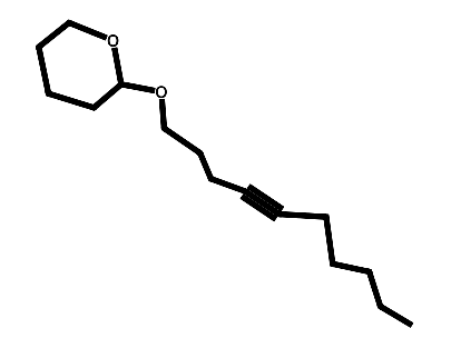 CCCCCC#CCCCOC1CCCCO1